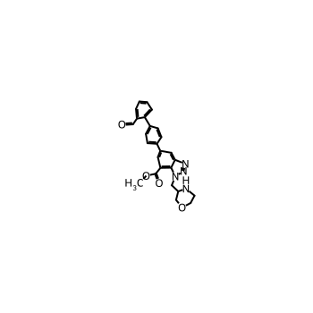 COC(=O)c1cc(-c2ccc(-c3ccccc3C=O)cc2)cc2nnn(CC3COCCN3)c12